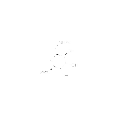 CO[C@H]1O[C@H](CNC(C)=O)[C@@H](O)[C@H](O)[C@@H]1O